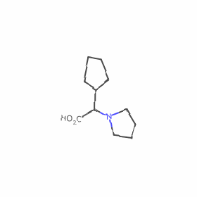 O=C(O)C(C1CCCC1)N1CCCC1